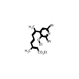 CCOC(=O)C=C(C)/C=C/C=C(/C)c1cc(C(C)C)nc(C(C)C)c1OCC